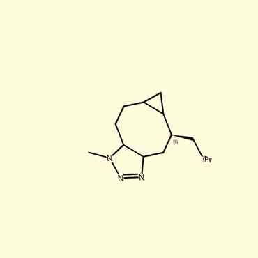 CC(C)C[C@H]1CC2N=NN(C)C2CCC2CC21